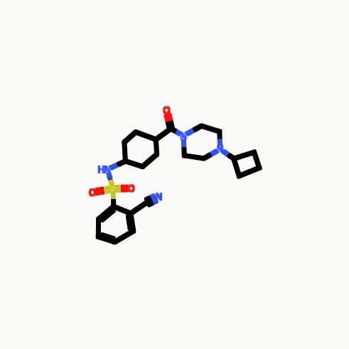 N#Cc1ccccc1S(=O)(=O)NC1CCC(C(=O)N2CCN(C3CCC3)CC2)CC1